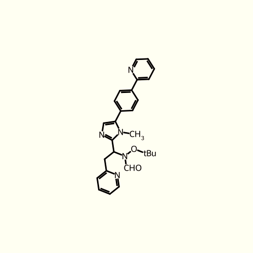 Cn1c(-c2ccc(-c3ccccn3)cc2)cnc1C(Cc1ccccn1)N(C=O)OC(C)(C)C